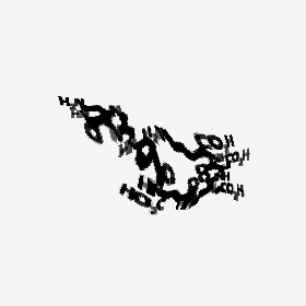 NCCCC[C@H](NC(=O)[C@H](CC(=O)O)NC(=O)[C@H](CC(=O)O)NC(=O)CC[C@H](NC(=O)c1ccc(NCc2cnc3cc(N)[nH]c(=O)c3n2)cc1)C(=O)O)C(=O)O